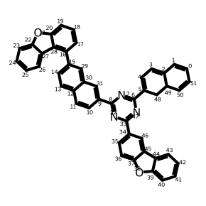 C1=CC2=CC=C(c3nc(-c4ccc5ccc(-c6cccc7oc8ccccc8c67)cc5c4)nc(-c4ccc5oc6ccccc6c5c4)n3)CC2C=C1